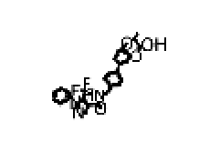 CC(Oc1ccc(-c2ccc(CNC(=O)c3cnn(-c4ccccc4)c3C(F)(F)F)cc2)cc1)C(=O)O